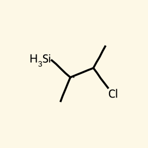 C[C]([SiH3])C(C)Cl